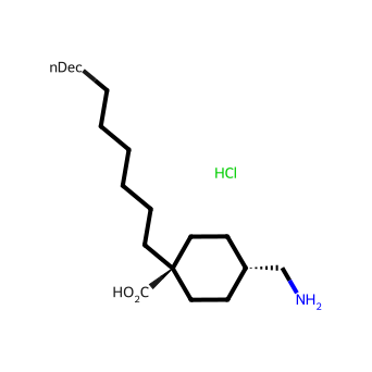 CCCCCCCCCCCCCCCC[C@]1(C(=O)O)CC[C@H](CN)CC1.Cl